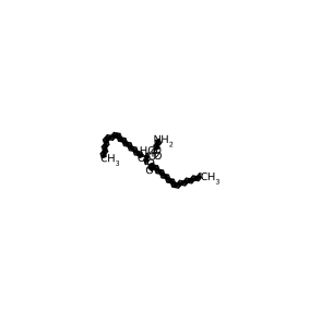 CCCCC/C=C\C/C=C\CCCCCCCCOC(COC(=O)CCCCCCC/C=C\CCCCCCCC)COP(=O)(O)OCCN